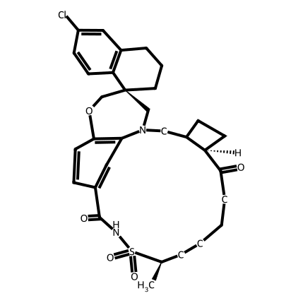 C[C@@H]1CCCCC(=O)[C@@H]2CCC2CN2C[C@@]3(CCCc4cc(Cl)ccc43)COc3ccc(cc32)C(=O)NS1(=O)=O